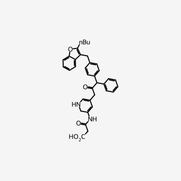 CCCCc1oc2ccccc2c1Cc1ccc(C(C(=O)CC2=CNCC(NC(=O)CC(=O)O)=C2)c2ccccc2)cc1